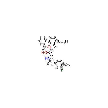 Cc1cc(-c2ccccc2C(C)OC[C@H](O)CNC(C)(C)Cc2ccc(C(F)(F)F)c(F)c2)ccc1C(=O)O